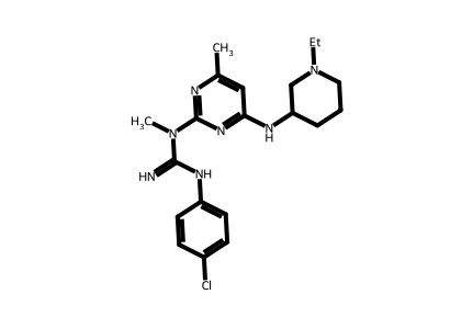 CCN1CCCC(Nc2cc(C)nc(N(C)C(=N)Nc3ccc(Cl)cc3)n2)C1